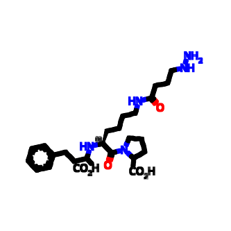 NNCCCC(=O)NCCCC[C@H](NC(CCc1ccccc1)C(=O)O)C(=O)N1CCCC1C(=O)O